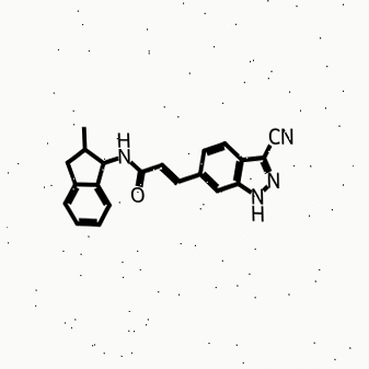 CC1Cc2ccccc2C1NC(=O)/C=C/c1ccc2c(C#N)n[nH]c2c1